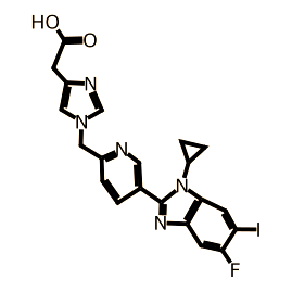 O=C(O)Cc1cn(Cc2ccc(-c3nc4cc(F)c(I)cc4n3C3CC3)cn2)cn1